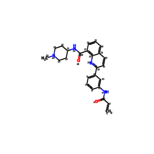 C=CC(=O)Nc1cccc(-c2ccc3cccc(C(=O)NC4CCN(C)CC4)c3n2)c1